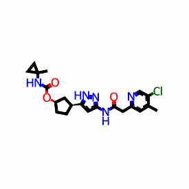 Cc1cc(CC(=O)Nc2cc([C@H]3CC[C@@H](OC(=O)NC4(C)CC4)C3)[nH]n2)ncc1Cl